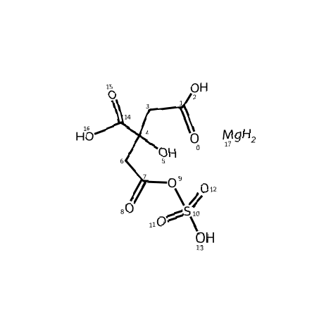 O=C(O)CC(O)(CC(=O)OS(=O)(=O)O)C(=O)O.[MgH2]